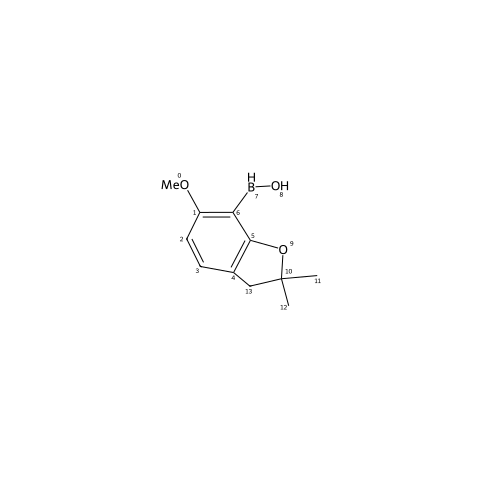 COc1ccc2c(c1BO)OC(C)(C)C2